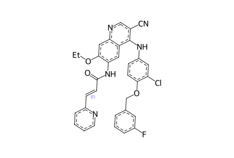 CCOc1cc2ncc(C#N)c(Nc3ccc(OCc4cccc(F)c4)c(Cl)c3)c2cc1NC(=O)/C=C/c1ccccn1